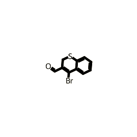 O=CC1=C(Br)c2ccccc2SC1